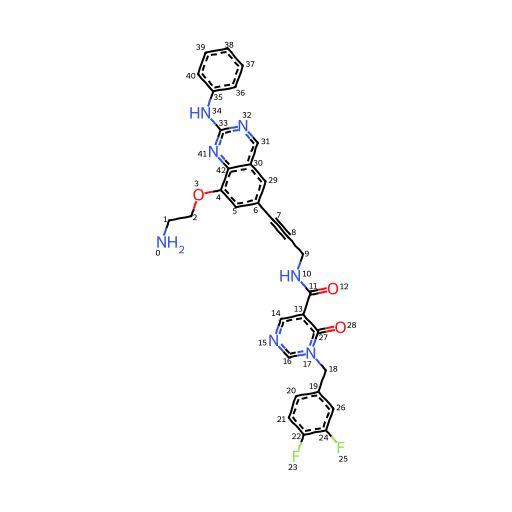 NCCOc1cc(C#CCNC(=O)c2cncn(Cc3ccc(F)c(F)c3)c2=O)cc2cnc(Nc3ccccc3)nc12